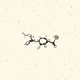 CCOC(=O)c1ccc(C(=O)Br)cc1